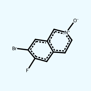 [O-][n+]1ccc2cc(F)c(Br)cc2c1